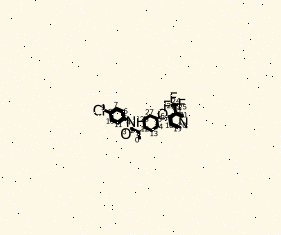 CC(C(=O)Nc1ccc(Cl)cc1)[C@H]1CC[C@H](Oc2ccncc2C(F)(F)F)CC1